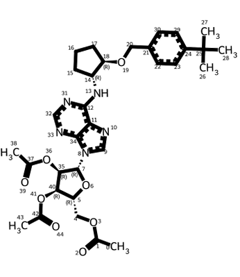 CC(=O)OC[C@H]1O[C@@H](n2cnc3c(N[C@@H]4CCC[C@H]4OCc4ccc(C(C)(C)C)cc4)ncnc32)[C@H](OC(C)=O)[C@@H]1OC(C)=O